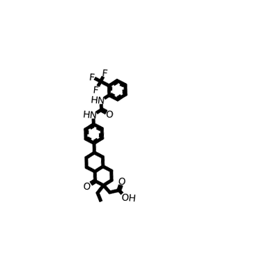 CCC1(CC(=O)O)CCC2CC(c3ccc(NC(=O)Nc4ccccc4C(F)(F)F)cc3)CCC2C1=O